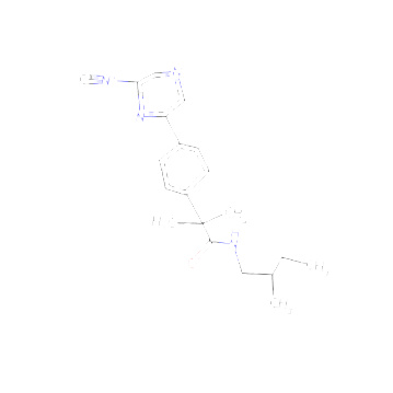 [C-]#[N+]c1cncc(-c2ccc(C(C)(C)C(=O)NCC(C)CC)cc2)n1